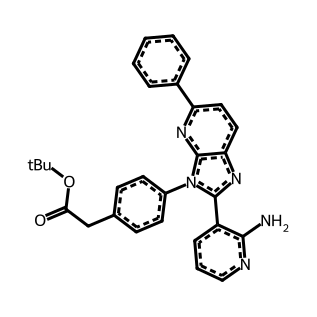 CC(C)(C)OC(=O)Cc1ccc(-n2c(-c3cccnc3N)nc3ccc(-c4ccccc4)nc32)cc1